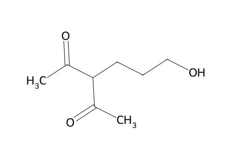 CC(=O)C(CCCO)C(C)=O